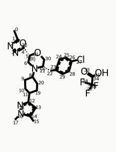 Cc1nnc([C@H]2CN(C3CCC(c4cc(C)n(C)n4)CC3)[C@@H](Cc3ccc(Cl)cc3)CO2)o1.O=C(O)C(F)(F)F